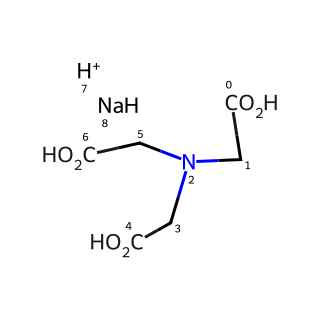 O=C(O)CN(CC(=O)O)CC(=O)O.[H+].[NaH]